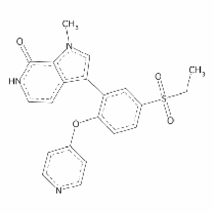 CCS(=O)(=O)c1ccc(Oc2ccncc2)c(-c2cn(C)c3c(=O)[nH]ccc23)c1